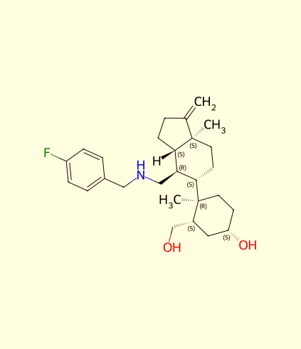 C=C1CC[C@H]2[C@H](CNCc3ccc(F)cc3)[C@@H]([C@@]3(C)CC[C@H](O)C[C@@H]3CO)CC[C@]12C